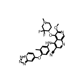 COc1ncc2ncc(C#N)c(Nc3ccc(Oc4ccn5nnnc5c4)c(C)c3)c2c1O[C@H]1CCN(C)CC1(F)F